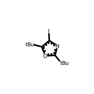 CC(C)(C)c1nc(I)c(C(C)(C)C)o1